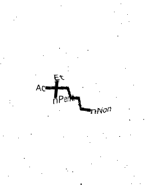 CCCCCCCCCCCCCC(CC)(CCCCC)C(C)=O